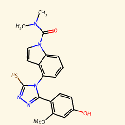 COc1cc(O)ccc1-c1nnc(S)n1-c1cccc2c1ccn2C(=O)N(C)C